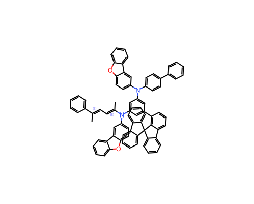 C/C(=C\C=C(/C)N(c1cc(-c2cccc3c2C2(c4ccccc4-c4ccccc42)c2ccccc2-3)cc(N(c2ccc(-c3ccccc3)cc2)c2ccc3oc4ccccc4c3c2)c1)c1ccc2oc3ccccc3c2c1)c1ccccc1